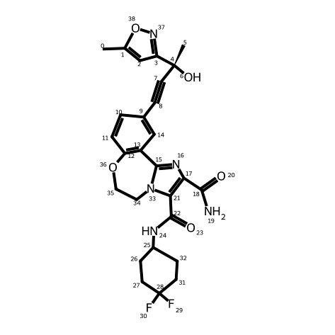 Cc1cc([C@](C)(O)C#Cc2ccc3c(c2)-c2nc(C(N)=O)c(C(=O)NC4CCC(F)(F)CC4)n2CCO3)no1